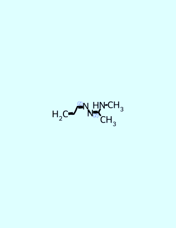 C=C/C=N\N=C(\C)NC